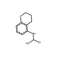 CCC(O)Nc1cccc2c1CCCO2